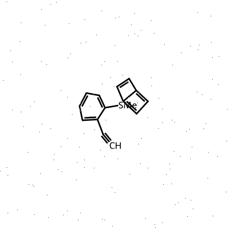 C#Cc1ccccc1SC.c1cc2ccc1-2